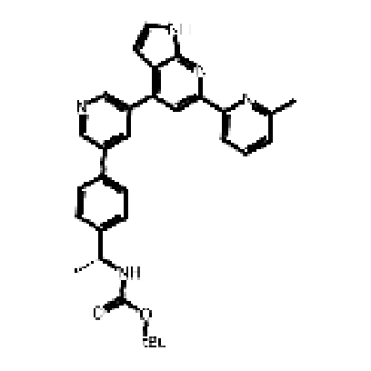 Cc1cccc(-c2cc(-c3cncc(-c4ccc([C@@H](C)NC(=O)OC(C)(C)C)cc4)c3)c3cc[nH]c3n2)n1